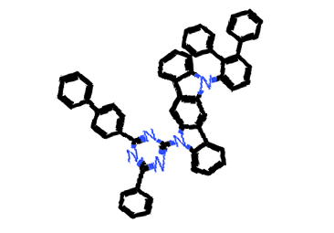 c1ccc(-c2ccc(-c3nc(-c4ccccc4)nc(-n4c5ccccc5c5cc6c(cc54)c4ccccc4n6-c4cccc(-c5ccccc5)c4-c4ccccc4)n3)cc2)cc1